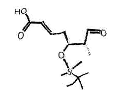 C[C@@H](C=O)[C@H](C/C=C/C(=O)O)O[Si](C)(C)C(C)(C)C